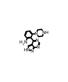 Nc1cccc(N2CCNCC2)c1-c1ncnc2n[nH]cc12